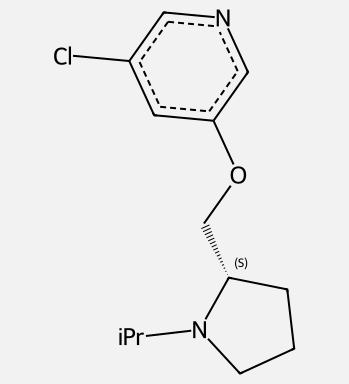 CC(C)N1CCC[C@H]1COc1cncc(Cl)c1